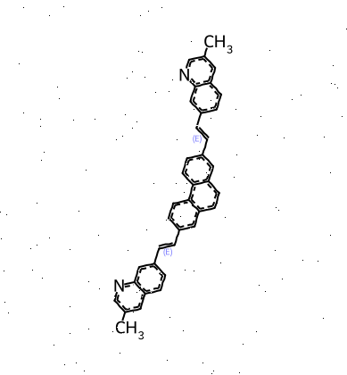 Cc1cnc2cc(/C=C/c3ccc4c(ccc5cc(/C=C/c6ccc7cc(C)cnc7c6)ccc54)c3)ccc2c1